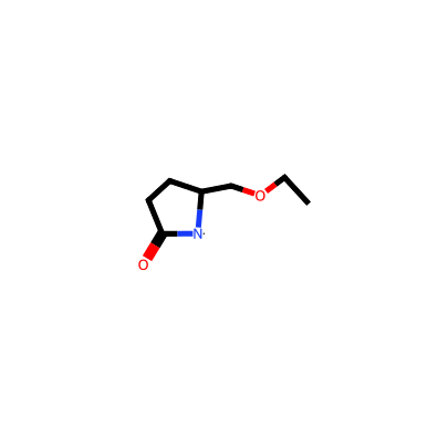 CCOCC1CCC(=O)[N]1